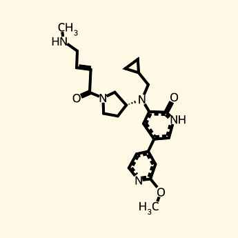 CNC/C=C/C(=O)N1CC[C@@H](N(CC2CC2)c2cc(-c3ccnc(OC)c3)c[nH]c2=O)C1